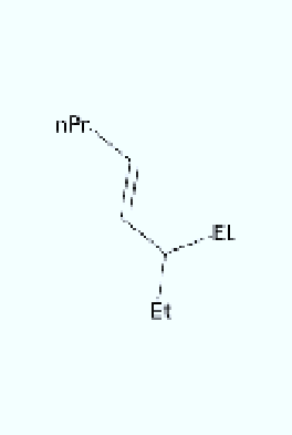 [CH2]CC(C=CCCC)CC